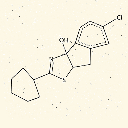 OC12N=C(C3CCCCC3)SC1Cc1cc(Cl)ccc12